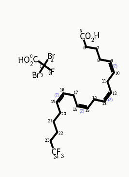 O=C(O)C(F)(Br)Br.O=C(O)CCC/C=C\C/C=C\C/C=C\C/C=C\CCCCC(F)(F)F